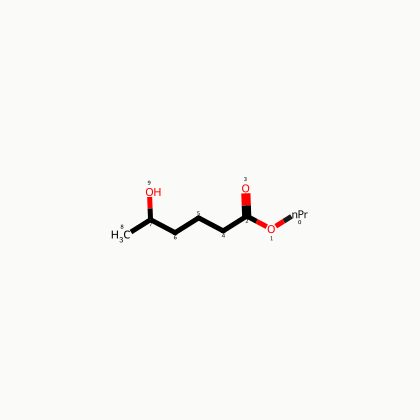 CCCOC(=O)CCCC(C)O